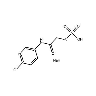 O=C(CSS(=O)(=O)O)Nc1ccc(Cl)nc1.[NaH]